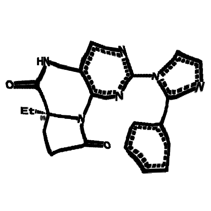 CC[C@@]12CCC(=O)N1c1nc(-n3ccnc3-c3ccccc3)ncc1NC2=O